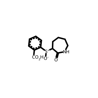 O=C(O)c1ccccc1[S+]([O-])C1CCCCNC1=O